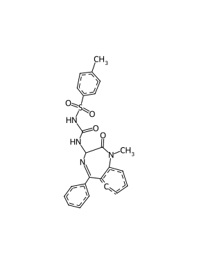 Cc1ccc(S(=O)(=O)NC(=O)NC2N=C(c3ccccc3)c3ccccc3N(C)C2=O)cc1